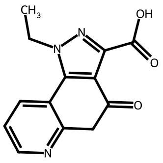 CCn1nc(C(=O)O)c2c1-c1cccnc1CC2=O